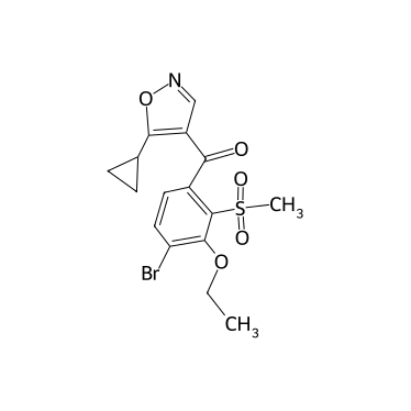 CCOc1c(Br)ccc(C(=O)c2cnoc2C2CC2)c1S(C)(=O)=O